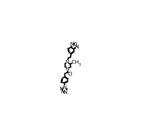 CC1CN(C(=O)Cc2ccc(-n3cnnn3)cc2)CCN1CCc1ccc2nonc2c1